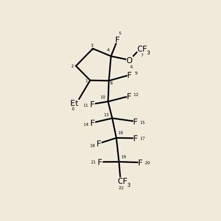 [CH2]CC1C[CH]C(F)(OC(F)(F)F)C1(F)C(F)(F)C(F)(F)C(F)(F)C(F)(F)C(F)(F)F